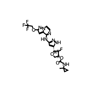 CC1(NC(=O)O[C@@H]2CO[C@H](c3cc(Nc4nccn5nc(OCC(F)(F)F)cc45)n[nH]3)[C@H]2F)CC1